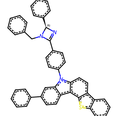 c1ccc(CN2C(c3ccc(-n4c5cc(-c6ccccc6)ccc5c5c6sc7ccccc7c6ccc54)cc3)=N[C@@H]2c2ccccc2)cc1